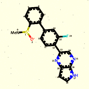 CN[S+]([O-])c1ccccc1-c1ccc(-c2cnc3[nH]ccc3n2)c(F)c1